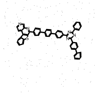 c1ccc(-c2ccc(-c3nc(-c4ccccc4)nc(-c4ccc(-c5ccc(-c6ccc(-c7nc8cnccc8c8c7sc7ccccc78)cc6)cc5)cc4)n3)cc2)cc1